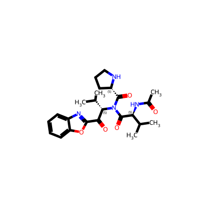 CC(=O)N[C@H](C(=O)N(C(=O)[C@@H]1CCCN1)[C@H](C(=O)c1nc2ccccc2o1)C(C)C)C(C)C